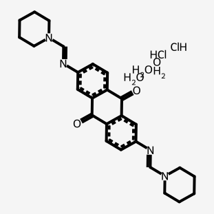 Cl.Cl.O.O.O.O=C1c2ccc(N=CN3CCCCC3)cc2C(=O)c2ccc(N=CN3CCCCC3)cc21